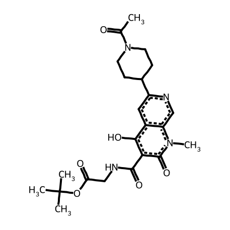 CC(=O)N1CCC(c2cc3c(O)c(C(=O)NCC(=O)OC(C)(C)C)c(=O)n(C)c3cn2)CC1